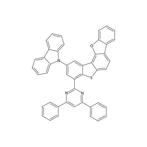 c1ccc(-c2cc(-c3ccccc3)nc(-c3cc(-n4c5ccccc5c5ccccc54)cc4c3sc3ccc5c6ccccc6oc5c34)n2)cc1